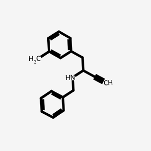 C#CC(Cc1cccc(C)c1)NCc1ccccc1